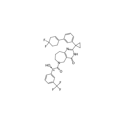 O=C([C@H](O)c1cccc(C(F)(F)F)c1)N1CCCc2nc(C3(c4cccc(C5=CCC(F)(F)CC5)c4)CC3)[nH]c(=O)c2C1